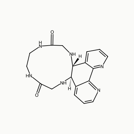 O=C1CN[C@@H]2c3cccnc3-c3ncccc3[C@H]2NCC(=O)NCCN1